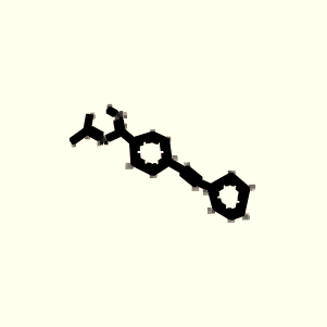 C/N=C(\N=C(C)C)c1ccc(C#Cc2ccccc2)cc1